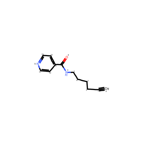 C#CCCCCNC(=O)c1ccncc1